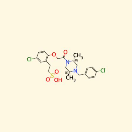 C[C@@H]1CN(Cc2ccc(Cl)cc2)[C@@H](C)CN1C(=O)COc1ccc(Cl)cc1CCS(=O)(=O)O